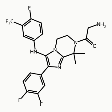 CC1(C)c2nc(-c3ccc(F)c(F)c3)c(Nc3ccc(F)c(C(F)(F)F)c3)n2CCN1C(=O)CN